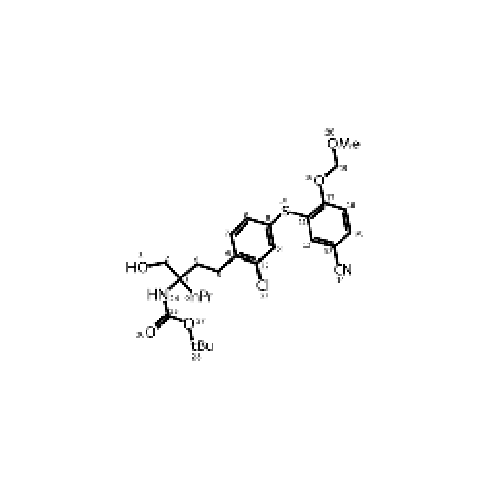 CCCC(CO)(CCc1ccc(Sc2cc(C#N)ccc2OCOC)cc1Cl)NC(=O)OC(C)(C)C